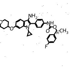 C[C@@H](OC(=O)Nc1ccc(-c2c(N)c3ccc(OC4CCOCC4)cc3n2C2CC2)cc1)c1ccc(F)cc1